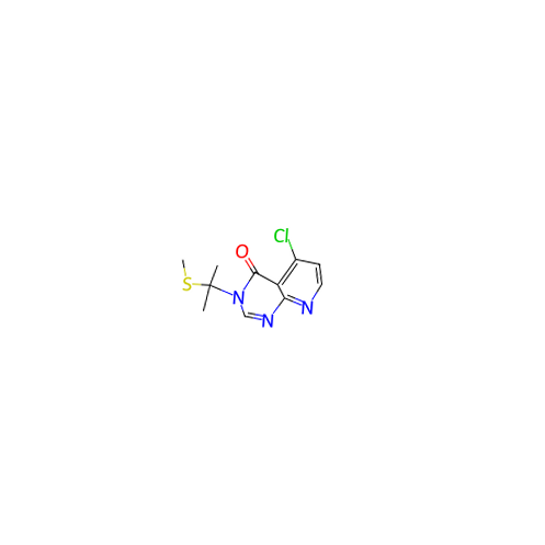 CSC(C)(C)n1cnc2nccc(Cl)c2c1=O